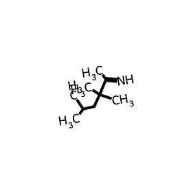 CC(=N)C(C)(C)CC(C)C